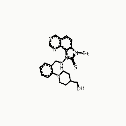 CCn1c(=S)n(NCc2ccccc2N2CCC(CO)CC2)c2c3ncncc3ccc21